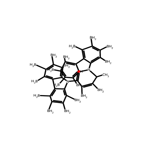 B/C(C(=N)n1c2c(B)c(B)c(B)c(B)c2c2c(B)c(B)c(B)c(B)c21)=C(\B)C(C)n1c2c(B)c(B)c(B)c(B)c2c2c(B)c(B)c(B)c(B)c21